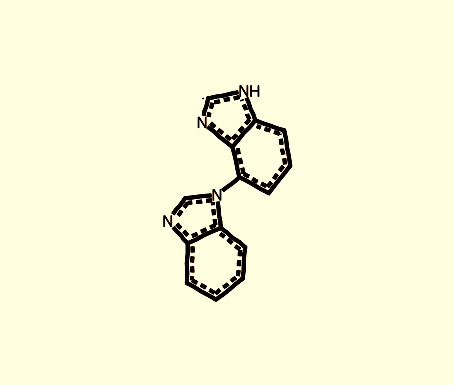 [c]1nc2c(-n3cnc4ccccc43)cccc2[nH]1